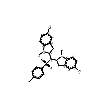 Cc1ccc(S(=O)(=O)N(C2Cc3cc(Cl)ccc3N2C)C2Cc3cc(Cl)ccc3N2C)cc1